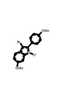 COc1ccc(-c2c(Br)c3ccc(OC)cc3[s+]2[O-])cc1